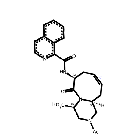 CC(=O)N1C[C@@H]2C/C=C\C[C@H](NC(=O)c3nccc4ccccc34)C(=O)N2[C@H](C(=O)O)C1